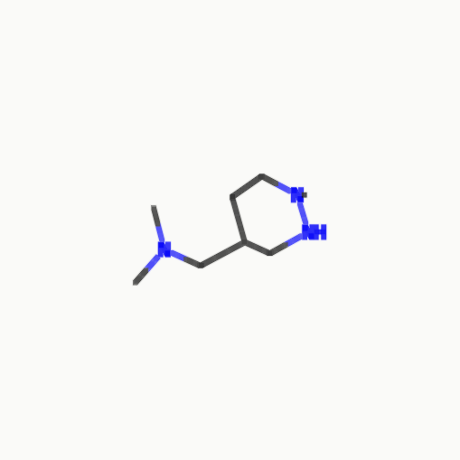 CN(C)CC1CC[N]NC1